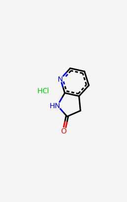 Cl.O=C1Cc2cccnc2N1